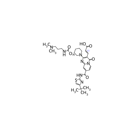 CN(C)CCCNC(=O)O[C@@H]1CCCN(c2nc3cc(C(=O)Nc4nc(C(C)(C)C)cs4)ccn3c(=O)c2/C=C/C(=O)O)C1